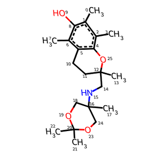 Cc1c(C)c2c(c(C)c1O)CCC(C)(CNC1(C)COC(C)(C)OC1)O2